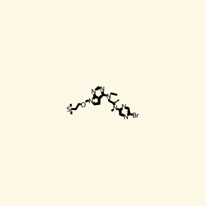 CCN(C[C@@H](C)N(C)c1cnc(Br)cn1)c1ncnc2c1ccn2COCC[Si](C)(C)C